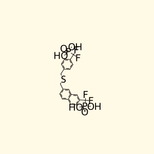 O=P(O)(O)C(F)(F)c1ccc(CSCc2ccc3ccc(C(F)(F)P(=O)(O)O)cc3c2)cc1